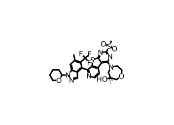 Cc1cc2c(cnn2C2CCCCO2)c(-c2nccc3c2sc2nc(S(C)(=O)=O)nc(N4CCOC[C@@](C)(O)C4)c23)c1C(F)(F)F